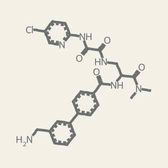 CN(C)C(=O)C(CNC(=O)C(=O)Nc1ccc(Cl)cn1)NC(=O)c1ccc(-c2cccc(CN)c2)cc1